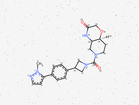 Cn1nccc1-c1ccc(C2CN(C(=O)N3CC[C@@H]4OCC(=O)NC4C3)C2)cc1